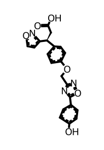 O=C(O)C[C@@H](c1ccc(OCc2noc(-c3ccc(O)cc3)n2)cc1)c1ccon1